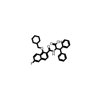 O=C(NC(C(=O)O)C(c1ccccc1)c1ccccc1)c1ccc2cc(F)ccc2c1OCC1CCCCC1